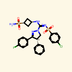 NS(=O)(=O)[C@H]1C[C@@H](N/C(=N/S(=O)(=O)c2ccc(Cl)cc2)N2C[C@H](c3ccccc3)C(c3ccc(F)cc3)=N2)C1